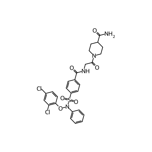 NC(=O)C1CCN(C(=O)CNC(=O)c2ccc(S(=O)(=O)N(Oc3ccc(Cl)cc3Cl)c3ccccc3)cc2)CC1